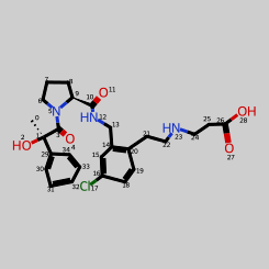 C[C@](O)(C(=O)N1CCC[C@H]1C(=O)NCc1cc(Cl)ccc1CCNCCC(=O)O)c1ccccc1